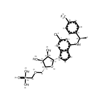 C[C@@H](Nc1nc(Cl)nc2c1ccn2[C@@H]1O[C@H](COCP(=O)(O)O)[C@@H](O)[C@H]1O)c1ccc(C(F)(F)F)cc1